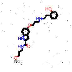 O=C(NCCCO[N+](=O)[O-])c1cc2cc(OCCCNCCc3ccccc3O)ccc2[nH]1